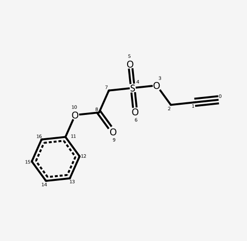 C#CCOS(=O)(=O)CC(=O)Oc1ccccc1